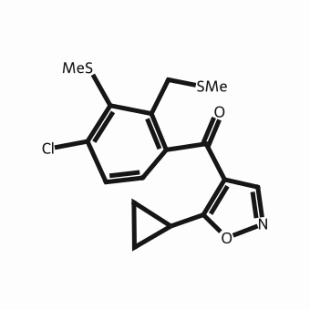 CSCc1c(C(=O)c2cnoc2C2CC2)ccc(Cl)c1SC